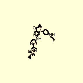 O=C(c1cnc(Nc2ccnc(-c3cnn(S(=O)(=O)C4CC4)c3)n2)cc1NC1CCC(NCCF)CC1)C1CC1